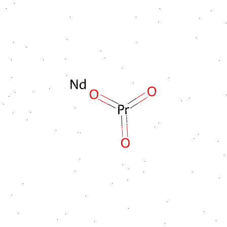 [Nd].[O]=[Pr](=[O])=[O]